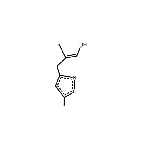 CC(=CO)Cc1cc(C)on1